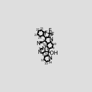 Cn1cncc1C(O)(c1ccc2nc(C(F)(F)F)c(-c3ccccc3)c(C#N)c2c1)c1ccccn1